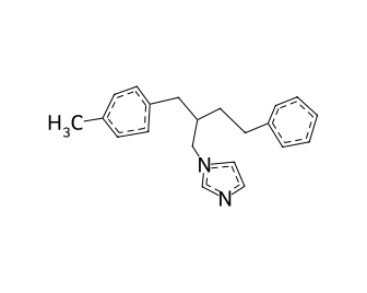 Cc1ccc(CC(CCc2ccccc2)Cn2ccnc2)cc1